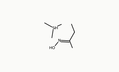 CCC(C)=NO.C[SiH](C)C